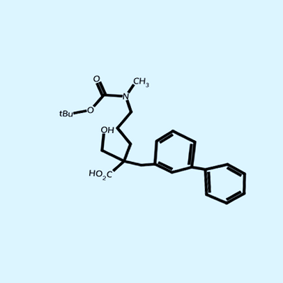 CN(CCCC(CO)(Cc1cccc(-c2ccccc2)c1)C(=O)O)C(=O)OC(C)(C)C